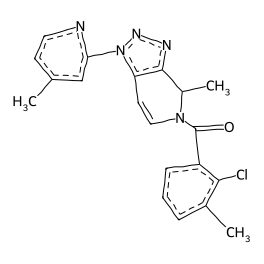 Cc1ccnc(-n2nnc3c2C=CN(C(=O)c2cccc(C)c2Cl)C3C)c1